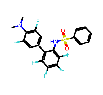 CN(C)c1c(F)cc(-c2c(F)c(F)c(F)c(F)c2NS(=O)(=O)c2ccccc2)cc1F